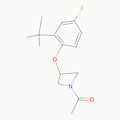 CC(=O)N1CC(Oc2ccc(F)cc2C(C)(C)C)C1